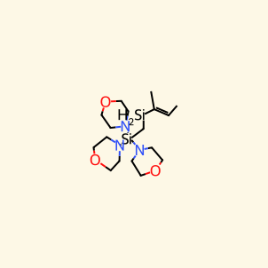 CC=C(C)[SiH2]C[Si](N1CCOCC1)(N1CCOCC1)N1CCOCC1